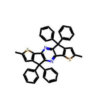 Cc1cc2c(s1)-c1nc3c(nc1C2(c1ccccc1)c1ccccc1)-c1sc(C)cc1C3(c1ccccc1)c1ccccc1